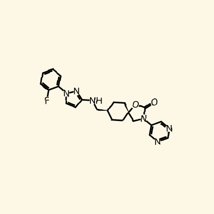 O=C1O[C@]2(CC[C@H](CNc3ccn(-c4ccccc4F)n3)CC2)CN1c1cncnc1